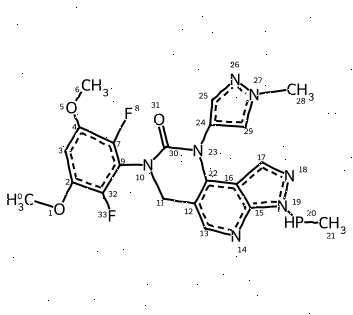 COc1cc(OC)c(F)c(N2Cc3cnc4c(cnn4PC)c3N(c3cnn(C)c3)C2=O)c1F